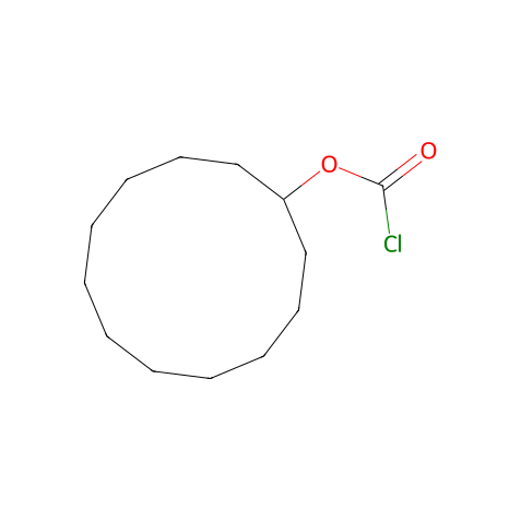 O=C(Cl)OC1CCCCCCCCCCC1